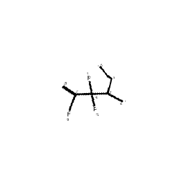 [CH2]CC([CH2])C(F)(F)C(C)F